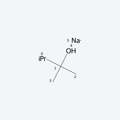 CC(C)C(C)(C)O.[Na]